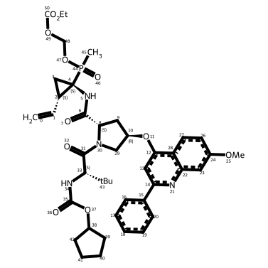 C=C[C@@H]1C[C@]1(NC(=O)[C@@H]1C[C@@H](Oc2cc(-c3ccccc3)nc3cc(OC)ccc23)CN1C(=O)[C@@H](NC(=O)OC1CCCC1)C(C)(C)C)P(C)(=O)OCOC(=O)OCC